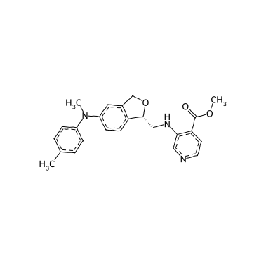 COC(=O)c1ccncc1NC[C@H]1OCc2cc(N(C)c3ccc(C)cc3)ccc21